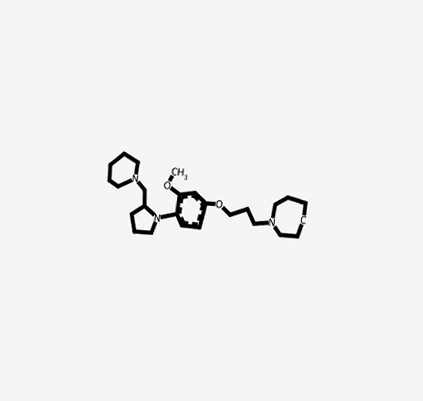 COc1cc(OCCCN2CCCCCC2)ccc1N1CCCC1CN1CCCCC1